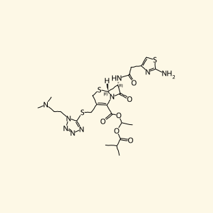 CC(OC(=O)C1=C(CSc2nnnn2CCN(C)C)CS[C@@H]2[C@H](NC(=O)Cc3csc(N)n3)C(=O)N12)OC(=O)C(C)C